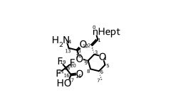 CCCCCCCC=C[C@@H]1OC[C@H](C)C[C@H]1OC(=O)CN.O=C(O)C(F)(F)F